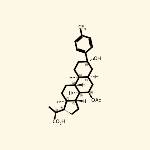 CC(=O)O[C@@H]1C[C@@H]2C[C@](O)(c3ccc(C(F)(F)F)cc3)CC[C@]2(C)[C@H]2CC[C@]3(C)[C@@H]([C@H](C)C(=O)O)CC[C@H]3[C@H]12